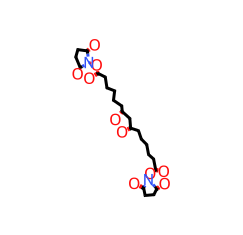 O=C(CCCCCC(=O)ON1C(=O)CCC1=O)CC(=O)CCCCCC(=O)ON1C(=O)CCC1=O